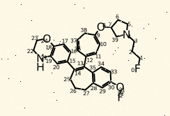 FCCCN1CC[C@H](OC2=CC=C(C3=C(c4ccc5c(c4)NCCO5)CCCc4cc(OF)ccc43)C=CC2)C1